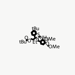 CCC(COC(=O)C(C)(C)C)C(c1ccc(C(C)(C)C)cc1)N(Cc1ccc(OCOC)c(OC)c1)C(N)=S